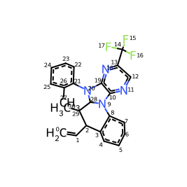 C=CC1c2ccccc2N2c3ncc(C(F)(F)F)nc3N(c3ccccc3C)C2C1C